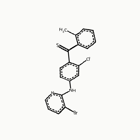 Cc1ccccc1C(=S)c1ccc(Nc2ncccc2Br)cc1Cl